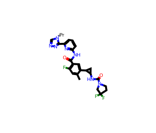 Cc1cc(F)c(C(=O)Nc2cccc(-c3nncn3C(C)C)n2)cc1C1CC1NC(=O)N1CCC(F)(F)C1